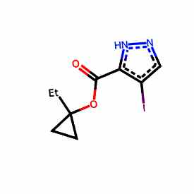 CCC1(OC(=O)c2[nH]ncc2I)CC1